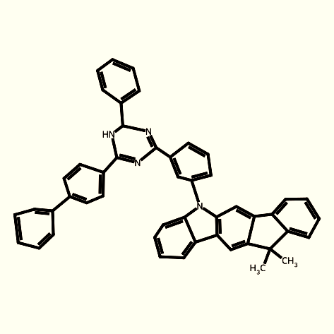 CC1(C)c2ccccc2-c2cc3c(cc21)c1ccccc1n3-c1cccc(C2=NC(c3ccccc3)NC(c3ccc(-c4ccccc4)cc3)=N2)c1